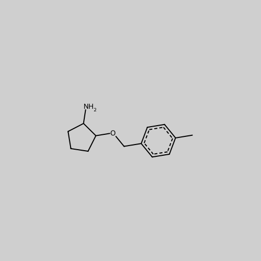 Cc1ccc(COC2CCCC2N)cc1